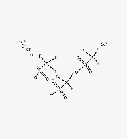 O=S(=O)([O-])C(F)(F)F.O=S(=O)([O-])C(F)(F)F.O=S(=O)([O-])C(F)(F)F.[Cl-].[Cl-].[Cl-].[Fe+3].[Sc+3]